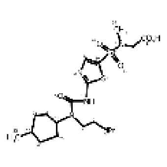 CC(C)CCN(C(=O)Nc1ncc(S(=O)(=O)N(C)CC(=O)O)s1)C1CCC(C)CC1